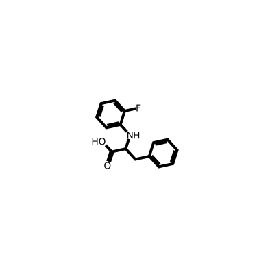 O=C(O)C(Cc1ccccc1)Nc1ccccc1F